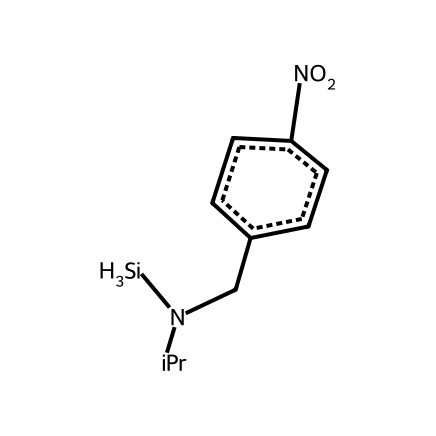 CC(C)N([SiH3])Cc1ccc([N+](=O)[O-])cc1